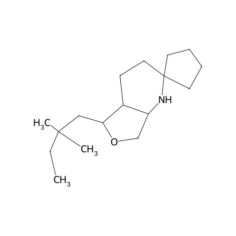 CCC(C)(C)CC1OCC2NC3(CCCC3)CCC21